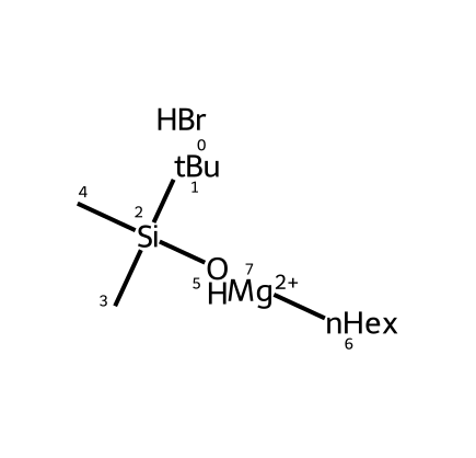 Br.CC(C)(C)[Si](C)(C)O.CCCCC[CH2][Mg+2]